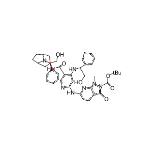 Cn1c2nc(Nc3cc(NC(CO)c4ccccc4)c(C(=O)NC4(CO)CC5CCC(C4)N5Cc4ccccc4)cn3)ccc2c(=O)n1C(=O)OC(C)(C)C